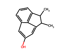 CC1c2cccc3cc(O)cc(c23)C1C